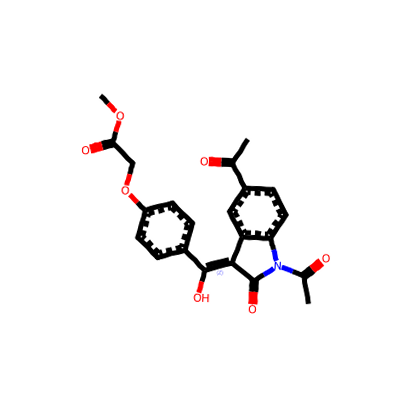 COC(=O)COc1ccc(/C(O)=C2/C(=O)N(C(C)=O)c3ccc(C(C)=O)cc32)cc1